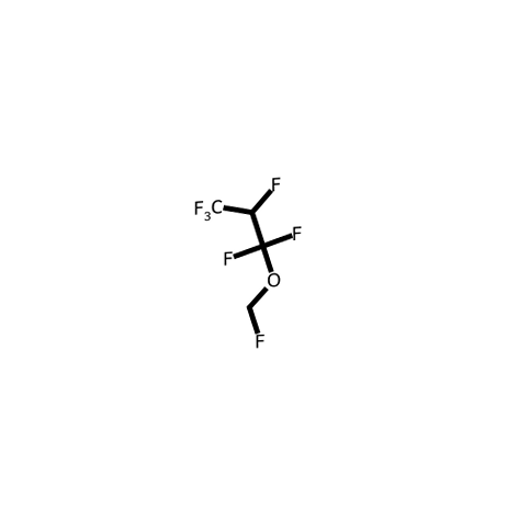 FCOC(F)(F)C(F)C(F)(F)F